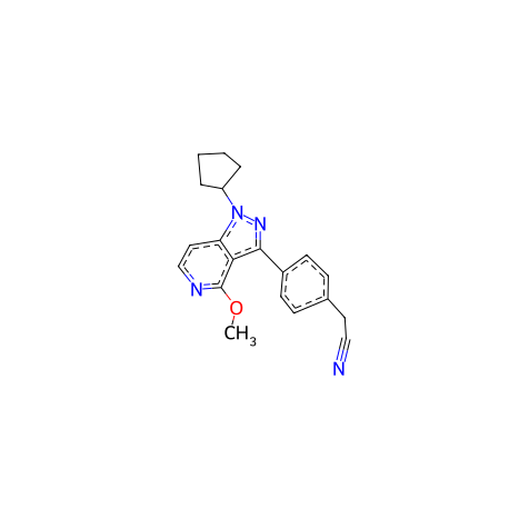 COc1nccc2c1c(-c1ccc(CC#N)cc1)nn2C1CCCC1